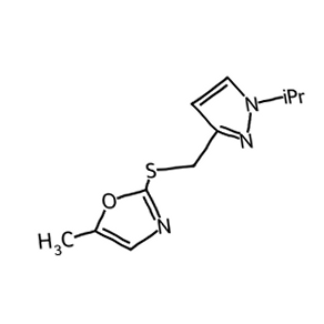 Cc1cnc(SCc2ccn(C(C)C)n2)o1